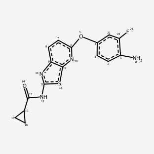 Nc1ccc(Oc2ccc3nc(NC(=O)C4CC4)sc3n2)cc1F